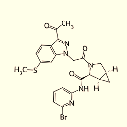 CSc1ccc2c(C(C)=O)nn(CC(=O)N3C[C@H]4C[C@H]4[C@H]3C(=O)Nc3cccc(Br)n3)c2c1